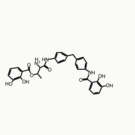 CC(OC(=O)c1cccc(O)c1O)C(N)C(=O)Nc1ccc(Cc2ccc(NC(=O)c3cccc(O)c3O)cc2)cc1